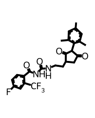 Cc1cc(C)c(C2C(=O)CC(CCNC(=O)NC(=O)c3ccc(F)cc3C(F)(F)F)C2=O)c(C)c1